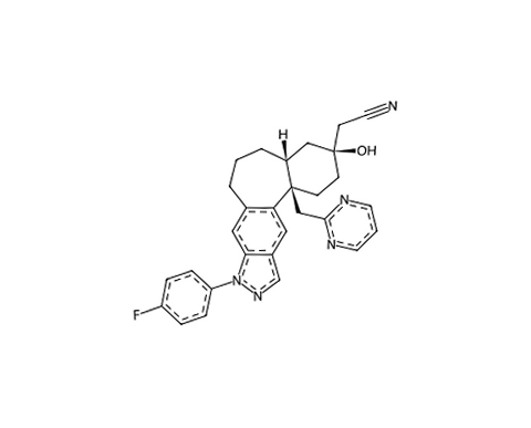 N#CC[C@]1(O)CC[C@]2(Cc3ncccn3)c3cc4cnn(-c5ccc(F)cc5)c4cc3CCC[C@@H]2C1